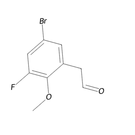 COc1c(F)cc(Br)cc1CC=O